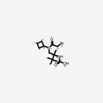 CC(C)(C)C(C)(CN(C(=O)CBr)C1CCC1)NC(=O)O